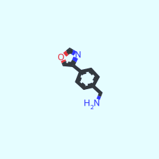 NCc1ccc(-c2cocn2)cc1